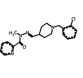 CN(N=CC1CCN(Cc2ccccc2Cl)CC1)C(=O)c1ccccn1